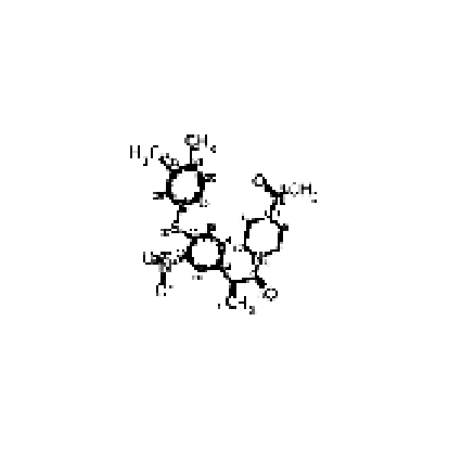 C=C(C(=O)N1CCN(C(C)=O)CC1)c1ccc(Sc2ccc(C)c(C)c2)c([N+](=O)[O-])c1